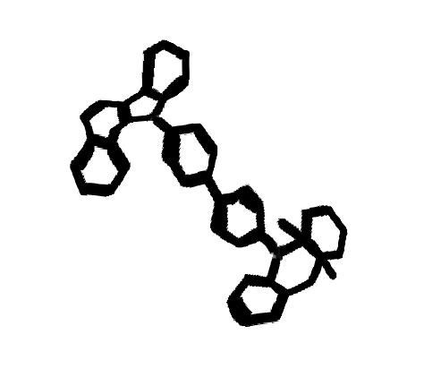 CC12CCCCC1(C)N(c1ccc(-c3ccc(-n4c5ccccc5c5ccc6ccccc6c54)cc3)cc1)c1ccccc1C2